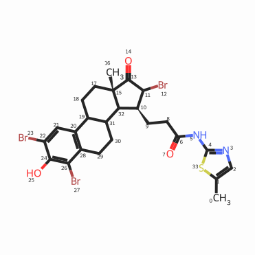 Cc1cnc(NC(=O)CC[C@@H]2C(Br)C(=O)[C@@]3(C)CCC4c5cc(Br)c(O)c(Br)c5CCC4C23)s1